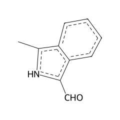 Cc1[nH]c(C=O)c2ccccc12